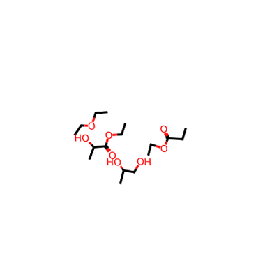 CC(O)CO.CCOC(=O)C(C)O.CCOC(=O)CC.CCOCC